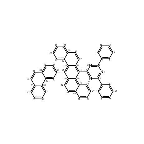 c1ccc(-c2nc(-c3ccccc3)nc(-c3c4ccc5ccccc5c4c(-c4ccc5ccc6ccccc6c5c4)c4ccc5ccccc5c34)n2)cc1